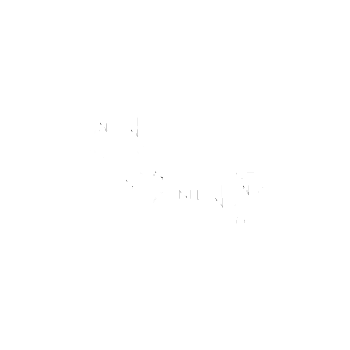 CN(C)C(=O)N[C@@H]1CCCC[C@@H]1Nc1nc(-c2c[nH]c3ncc(Cl)cc23)ncc1F